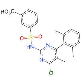 Cc1cccc(C)c1-c1nc(NS(=O)(=O)c2cccc(C(=O)O)c2)nc(Cl)c1C